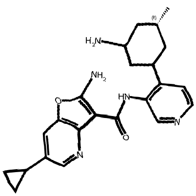 C[C@H]1CC(N)CC(c2ccncc2NC(=O)c2c(N)oc3cc(C4CC4)cnc23)C1